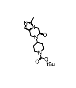 Cc1ncc2n1CC(=O)N(C1CCN(C(=O)OC(C)(C)C)CC1)C2